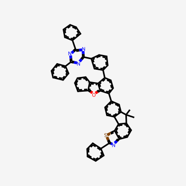 CC1(C)c2cc(-c3ccc(-c4cccc(-c5nc(-c6ccccc6)nc(-c6ccccc6)n5)c4)c4c3oc3ccccc34)ccc2-c2c1ccc1nc(-c3ccccc3)sc21